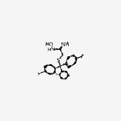 N=C(CSC(c1ccc(F)cc1)(c1ccc(F)cc1)c1ccccc1F)NO